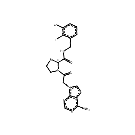 Nc1ncnc2c1ncn2CC(=O)N1CCS[C@H]1C(=O)NCc1cccc(Cl)c1F